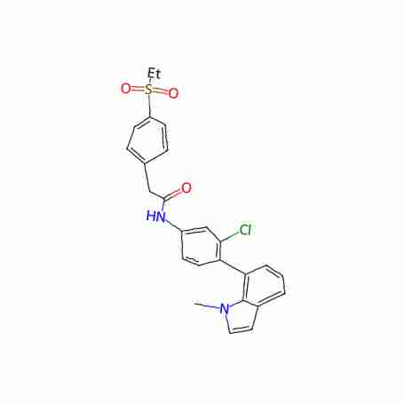 CCS(=O)(=O)c1ccc(CC(=O)Nc2ccc(-c3cccc4ccn(C)c34)c(Cl)c2)cc1